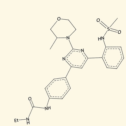 CCNC(=O)Nc1ccc(-c2cc(-c3ccccc3NS(C)(=O)=O)nc(N3CCOCC3C)n2)cc1